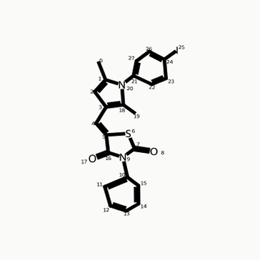 Cc1cc(C=C2SC(=O)N(c3ccccc3)C2=O)c(C)n1-c1ccc(I)cc1